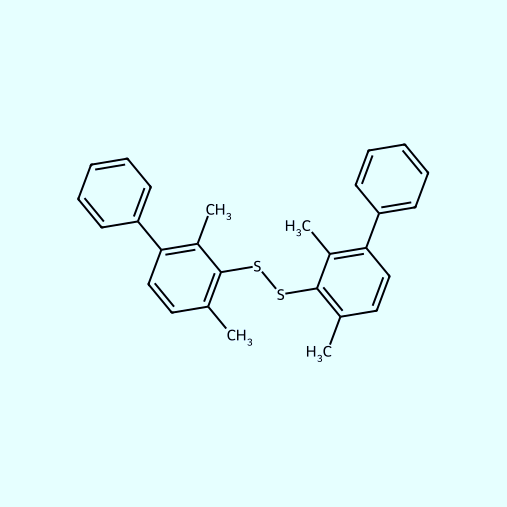 Cc1ccc(-c2ccccc2)c(C)c1SSc1c(C)ccc(-c2ccccc2)c1C